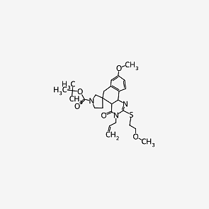 C=CCN1C(=O)C2C(N=C1SCCOC)c1ccc(OC)cc1CC21CCN(C(=O)OC(C)(C)C)C1